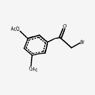 CC(=O)Oc1cc(OC(C)=O)cc(C(=O)CBr)c1